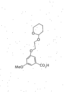 COc1cc(OCCOC2CCCCO2)cc(C(=O)O)c1